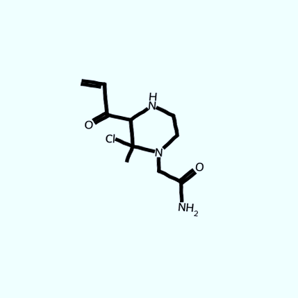 C=CC(=O)C1NCCN(CC(N)=O)C1(C)Cl